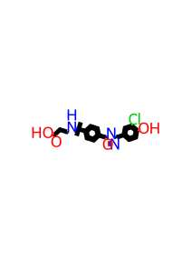 CC(C)(NCCC(=O)O)c1ccc(-c2nc(-c3ccc(O)c(Cl)c3)no2)cc1